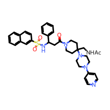 CC(=O)NCC1(N2CCN(c3ccncc3)CC2)CCN(C(=O)CC(NS(=O)(=O)c2ccc3ccccc3c2)c2ccccc2)CC1